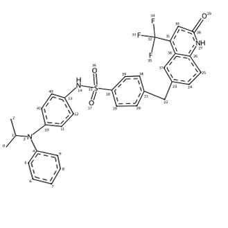 CC(C)N(c1ccccc1)c1ccc(NS(=O)(=O)c2ccc(Cc3ccc4[nH]c(=O)cc(C(F)(F)F)c4c3)cc2)cc1